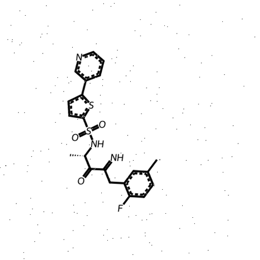 [CH2]c1ccc(F)c(CC(=N)C(=O)[C@H](C)NS(=O)(=O)c2ccc(-c3cccnc3)s2)c1